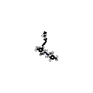 COC(=O)c1cc(OC)c(NC/C=C/CNc2c(OCC#CCC3CN(C(=O)OC(C)(C)C)C3)cc(C(N)=O)cc2[N+](=O)[O-])c([N+](=O)[O-])c1